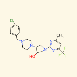 Cc1cc(C(F)(F)F)nc(N2C[C@@H](O)[C@H](N3CCN(Cc4ccc(Cl)cc4)CC3)C2)n1